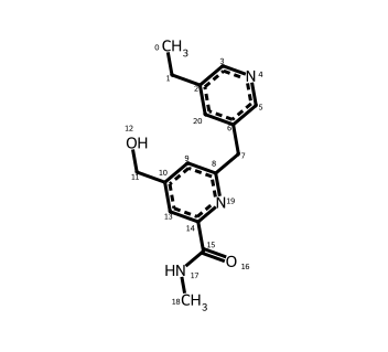 CCc1cncc(Cc2cc(CO)cc(C(=O)NC)n2)c1